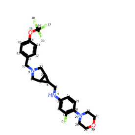 Fc1cc(NCC2C3CN(Cc4ccc(OC(F)(F)F)cc4)CC23)ccc1N1CCOCC1